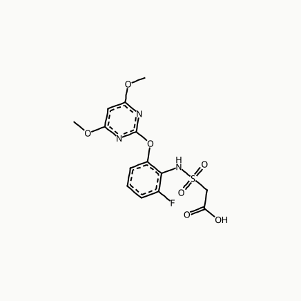 COc1cc(OC)nc(Oc2cccc(F)c2NS(=O)(=O)CC(=O)O)n1